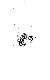 CO[C@@](C)(c1ccc(-c2nc([C@@H]3CC[C@H]4CCC(=O)N4C3)n3ccnc(N)c23)cc1)c1cccc(C(F)(F)F)c1